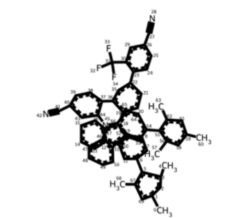 Cc1cc(C)c(-c2ccc3c(c2)c2ccccc2n3-c2ccc(-c3ccc(C#N)cc3C(F)(F)F)cc2-c2ccc(C#N)cc2-n2c3ccccc3c3cc(-c4c(C)cc(C)cc4C)ccc32)c(C)c1